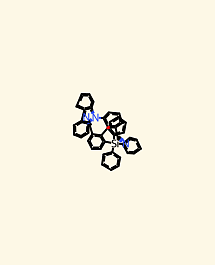 N#Cc1cccc(-n2c3ccccc3c3ccccc32)c1-c1c(C#N)cccc1[Si](c1ccccc1)(c1ccccc1)c1ccccc1